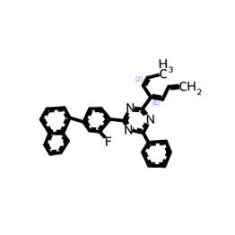 C=C/C=C(\C=C/C)c1nc(-c2ccccc2)nc(-c2ccc(-c3cccc4ccccc34)cc2F)n1